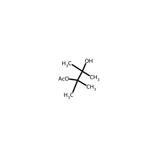 CC(=O)OC(C)(C)C(C)(C)O